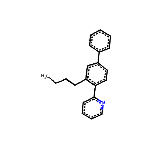 CCCCc1cc(-c2ccccc2)ccc1-c1ccccn1